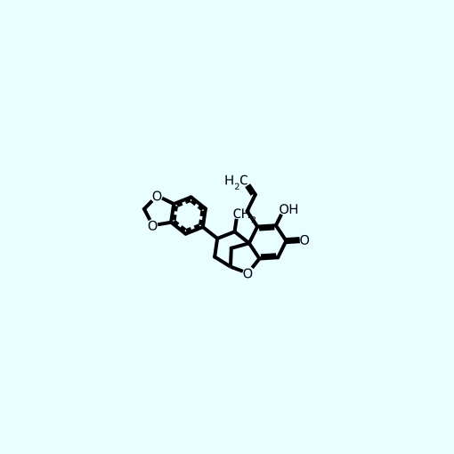 C=CCC1=C(O)C(=O)C=C2OC3CC(c4ccc5c(c4)OCO5)C(C)C21C3